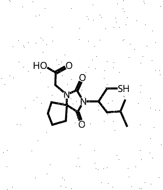 CC(C)CC(CS)N1C(=O)N(CC(=O)O)C2(CCCC2)C1=O